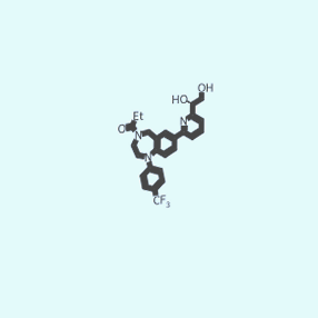 CCC(=O)N1CCN(c2ccc(C(F)(F)F)cc2)c2ccc(-c3cccc([C@H](O)CO)n3)cc2C1